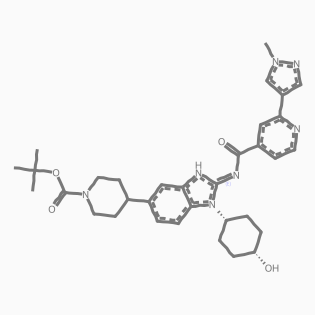 Cn1cc(-c2cc(C(=O)/N=c3\[nH]c4cc(C5CCN(C(=O)OC(C)(C)C)CC5)ccc4n3[C@H]3CC[C@@H](O)CC3)ccn2)cn1